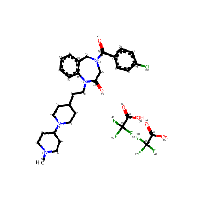 CN1CCC(N2CCC(CCN3C(=O)CN(C(=O)c4ccc(Cl)cc4)Cc4ccccc43)CC2)CC1.O=C(O)C(F)(F)F.O=C(O)C(F)(F)F